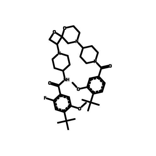 COc1cc(C(=O)N2CCC(N3CCOC4(C3)OCC4N3CCC(NC(=O)c4cc(OC)c(C(C)(C)C)cc4F)CC3)CC2)ccc1C(C)(C)C